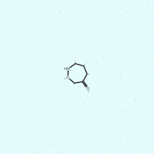 O=C1CCCNOC1